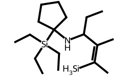 CCC(NC1([Si](CC)(CC)CC)CCCC1)C(C)=C(C)[SiH3]